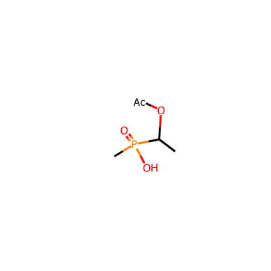 CC(=O)OC(C)P(C)(=O)O